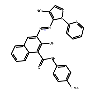 COc1ccc(NC(=O)c2c(O)c(/N=N/c3c(C#N)cnn3-c3ccccn3)cc3ccccc23)cc1